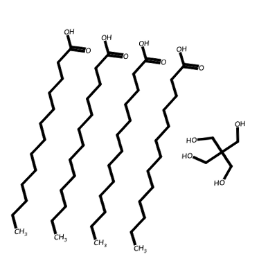 CCCCCCCCCCCCC(=O)O.CCCCCCCCCCCCC(=O)O.CCCCCCCCCCCCC(=O)O.CCCCCCCCCCCCC(=O)O.OCC(CO)(CO)CO